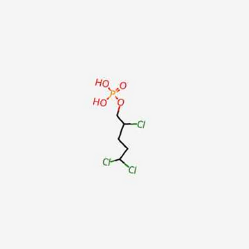 O=P(O)(O)OCC(Cl)CCC(Cl)Cl